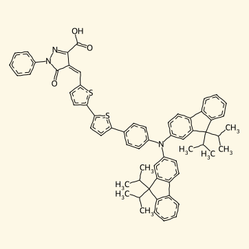 CC(C)C1(C(C)C)c2ccccc2-c2ccc(N(c3ccc(-c4ccc(-c5ccc(/C=C6\C(=O)N(c7ccccc7)N=C6C(=O)O)s5)s4)cc3)c3ccc4c(c3)C(C(C)C)(C(C)C)c3ccccc3-4)cc21